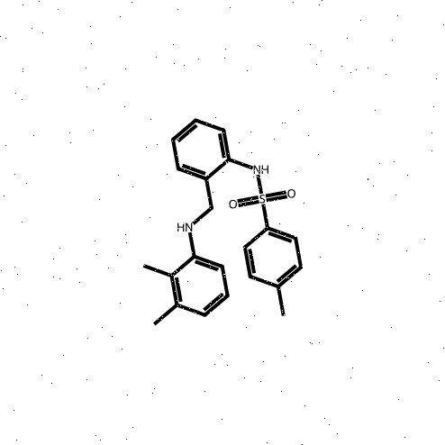 Cc1ccc(S(=O)(=O)Nc2ccccc2CNc2cccc(C)c2C)cc1